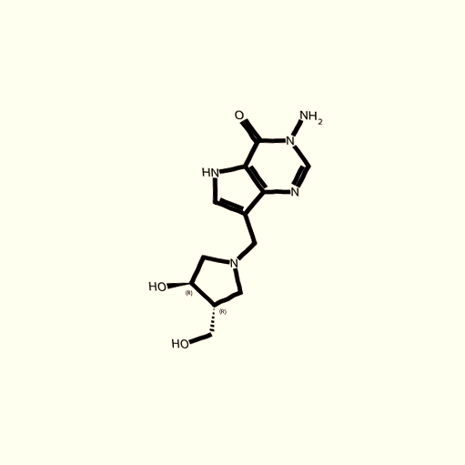 Nn1cnc2c(CN3C[C@H](CO)[C@@H](O)C3)c[nH]c2c1=O